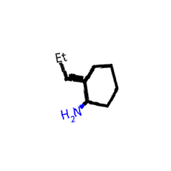 CCC=C1CCCCC1N